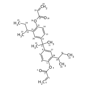 C=CC(=O)Oc1ccc(C(C)(C)c2ccc(OC(=O)C=C)c(C(C)CC)c2)cc1C(C)CC